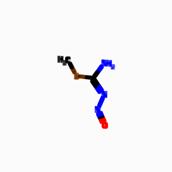 CS/C(N)=N\N=O